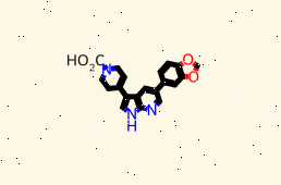 O=C(O)N1CC=C(c2c[nH]c3ncc(-c4ccc5c(c4)OCO5)cc23)CC1